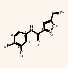 CC(C)Cc1cc(C(=O)Nc2ccc(F)c(Cl)c2)no1